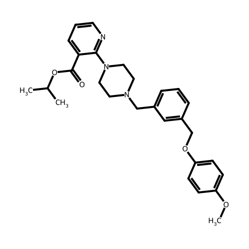 COc1ccc(OCc2cccc(CN3CCN(c4ncccc4C(=O)OC(C)C)CC3)c2)cc1